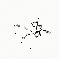 CCOC[C@H](CCCNC(C)=O)n1cnc2c(N)nc3ccccc3c21